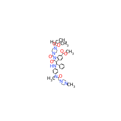 COC(=O)c1ccc2c(c1)N(C(=O)N1CCN(C(=O)OC(C)(C)C)CC1)C(=O)/C2=C(\Nc1ccc(N(C)C(=O)CN2CCN(C)CC2)cc1)c1ccccc1